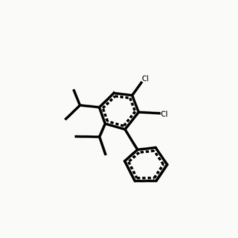 CC(C)c1[c]c(Cl)c(Cl)c(-c2ccccc2)c1C(C)C